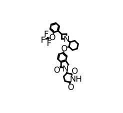 O=C1CCC(N2Cc3cc(OC4CCCCC4N4CC(c5ccccc5OC(F)(F)F)C4)ccc3C2=O)C(=O)N1